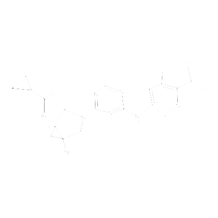 CC(O)c1ncc(Nc2ncc(F)c(N3CC4(N)C[C@@]4(NC(=O)C4CC4)C3)n2)cc1Cl